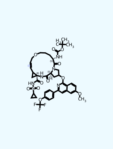 COc1ccc2c(OC3C[C@H]4C(=O)N[C@]5(C(=O)NS(=O)(=O)C6CC6)CC5/C=C\COCCC[C@H](NC(=O)OC(C)(C)C)C(=O)N4C3)nc(-c3ccc(OC(F)(F)F)cc3)cc2c1